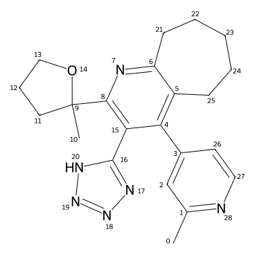 Cc1cc(-c2c3c(nc(C4(C)CCCO4)c2-c2nnn[nH]2)CCCCC3)ccn1